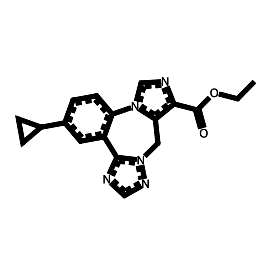 CCOC(=O)c1ncn2c1Cn1ncnc1-c1cc(C3CC3)ccc1-2